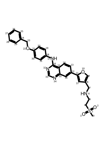 CS(=O)(=O)CCNCc1coc(-c2ccc3c(Nc4ccc(OCc5ccccc5)cc4)ncnc3c2)c1